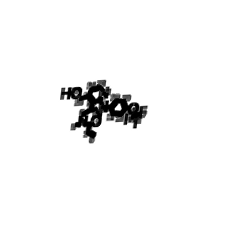 C=CC(=O)N(C)Cc1nn(-c2ccc(OC(F)(F)F)cc2)c2nccc(CO)c12